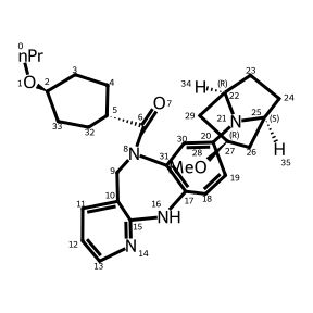 CCCO[C@H]1CC[C@H](C(=O)N2Cc3cccnc3Nc3ccc(N4[C@@H]5CC[C@H]4C[C@@H](OC)C5)cc32)CC1